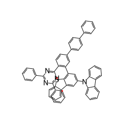 c1ccc(-c2ccc(-c3ccc(-c4nc(-c5ccccc5)nc(-c5ccccc5)n4)c(-c4cc(-n5c6ccccc6c6ccccc65)cc5c4sc4ccccc45)c3)cc2)cc1